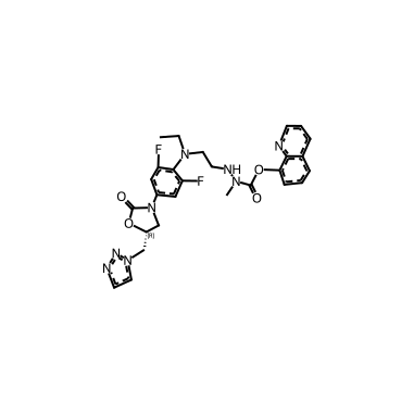 CCN(CCNN(C)C(=O)Oc1cccc2cccnc12)c1c(F)cc(N2C[C@H](Cn3ccnn3)OC2=O)cc1F